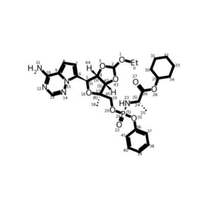 CCOC1O[C@H]2[C@H](c3ccc4c(N)ncnn34)O[C@](C)(CO[P@@](=O)(N[C@@H](C)C(=O)OC3CCCCC3)Oc3ccccc3)[C@H]2O1